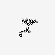 Cc1ccccc1-c1ccc(-c2cc(-c3ccc(N(c4ccccc4)c4ccc(-c5ccc6oc7ccccc7c6c5)cc4)cc3)cc(-c3ccc4c(c3)C(C)(C)c3ccccc3-4)c2)cc1C